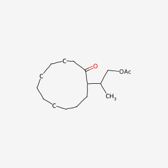 CC(=O)OCC(C)C1CCCCCCCCCCC1=O